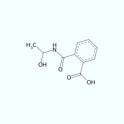 CC(O)NC(=O)c1ccccc1C(=O)O